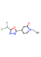 CC(C)Cn1ccc(-c2nnc(C(F)F)o2)cc1=O